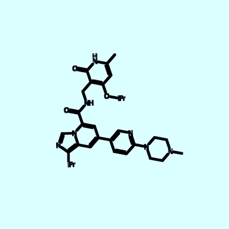 Cc1cc(OC(C)C)c(CNC(=O)c2cc(-c3ccc(N4CCN(C)CC4)nc3)cc3c(C(C)C)ncn23)c(=O)[nH]1